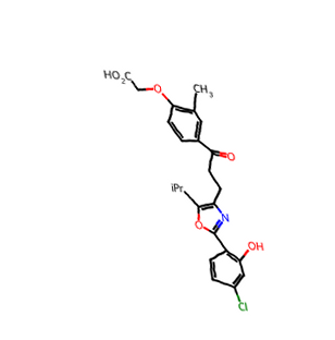 Cc1cc(C(=O)CCc2nc(-c3ccc(Cl)cc3O)oc2C(C)C)ccc1OCC(=O)O